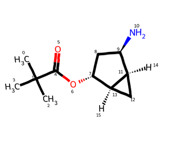 CC(C)(C)C(=O)O[C@@H]1C[C@@H](N)[C@H]2C[C@H]21